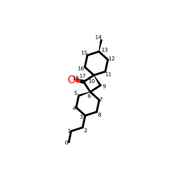 CCCC1CC[C@]2(CC1)C[C@@]1(CC[C@H](C)CC1)C2=O